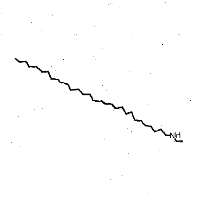 C[CH]NCCCCCCCCCCCCCCCCCCCCCCCCCCCCCC